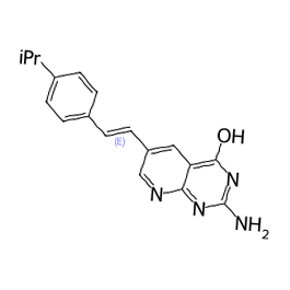 CC(C)c1ccc(/C=C/c2cnc3nc(N)nc(O)c3c2)cc1